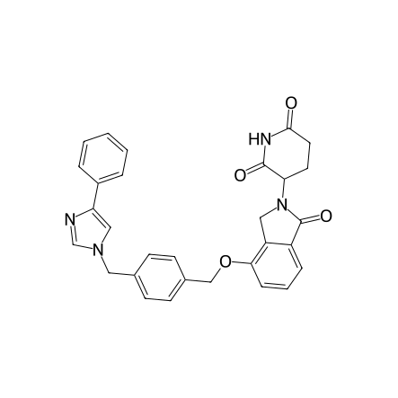 O=C1CCC(N2Cc3c(OCc4ccc(Cn5cnc(-c6ccccc6)c5)cc4)cccc3C2=O)C(=O)N1